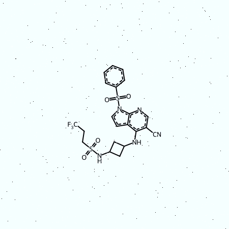 N#Cc1cnc2c(ccn2S(=O)(=O)c2ccccc2)c1NC1CC(NS(=O)(=O)CCC(F)(F)F)C1